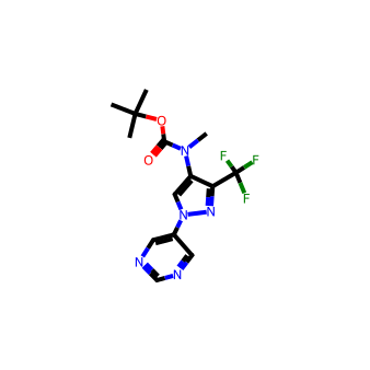 CN(C(=O)OC(C)(C)C)c1cn(-c2cncnc2)nc1C(F)(F)F